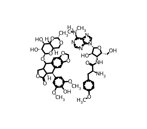 COc1cc([C@@H]2c3cc4c(cc3C(O[C@@H]3O[C@@H]5CO[C@@H](C)O[C@H]5[C@H](O)[C@H]3O)C3COC(=O)[C@@H]32)OCO4)cc(OC)c1O.COc1ccc(C[C@H](N)C(=O)N[C@H]2[C@@H](O)[C@H](n3cnc4c(N(C)C)ncnc43)O[C@@H]2CO)cc1